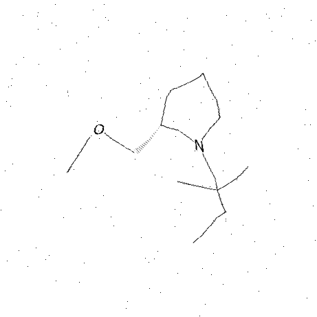 CCC(C)(C)N1CCC[C@H]1COC